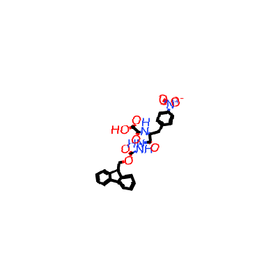 O=C(NNC(=O)C(Cc1ccc([N+](=O)[O-])cc1)NC(=O)C(=O)O)OCC1c2ccccc2-c2ccccc21